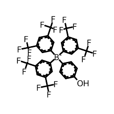 Oc1ccc([B-](c2cc(C(F)(F)F)cc(C(F)(F)F)c2)(c2cc(C(F)(F)F)cc(C(F)(F)F)c2)c2cc(C(F)(F)F)cc(C(F)(F)F)c2)cc1